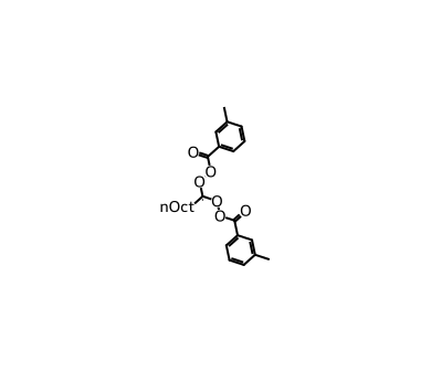 [CH2]CCCCCCC[C](OOC(=O)c1cccc(C)c1)OOC(=O)c1cccc(C)c1